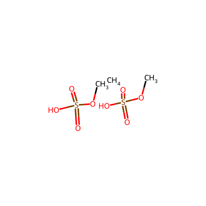 C.COS(=O)(=O)O.COS(=O)(=O)O